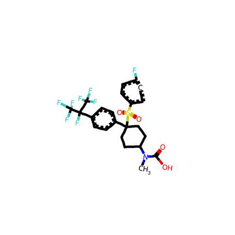 CN(C(=O)O)C1CCC(c2ccc(C(F)(C(F)(F)F)C(F)(F)F)cc2)(S(=O)(=O)c2ccc(F)cc2)CC1